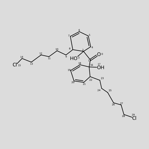 O=C(C1(O)C=CC=CC1CCCCCCCl)C1(O)C=CC=CC1CCCCCCCl